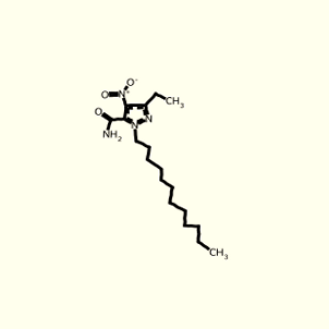 CCCCCCCCCCCCn1nc(CC)c([N+](=O)[O-])c1C(N)=O